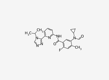 Cc1cc(F)c(C(=O)Nc2cccc(-c3nncn3C(C)C)n2)cc1N(C=O)C1CC1